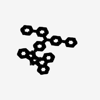 c1ccc(-c2ccc(C(c3ccc(-n4c5ccccc5c5nc6c7ccccc7c7ccccc7n6c54)cc3)c3cccc(-c4ccccc4)c3)cc2)cc1